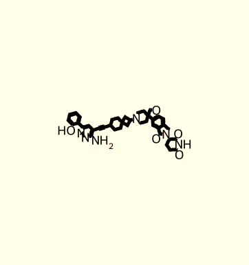 Nc1nnc(-c2ccccc2O)cc1C#CC1CCC2(CC1)CC(N1CCC3(CC1)COc1cc4c(cc13)C(=O)N(C1CCC(=O)NC1=O)C4)C2